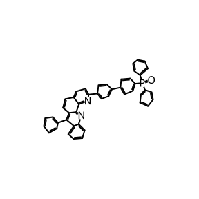 O=P(c1ccccc1)(c1ccccc1)c1ccc(-c2ccc(-c3ccc4ccc5c(-c6ccccc6)c6ccccc6nc5c4n3)cc2)cc1